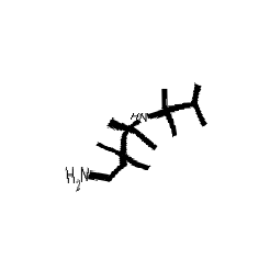 CC(C)C(C)(C)NC(C)(C)C(C)(C)CN